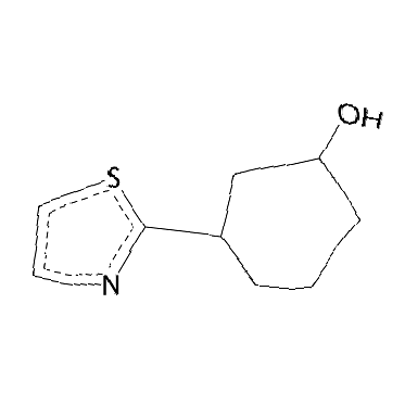 OC1CCCC(c2nccs2)C1